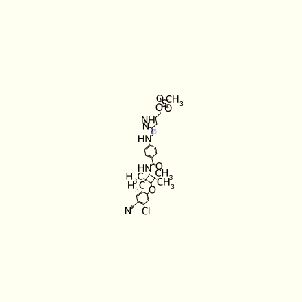 CC1(C)[C@H](NC(=O)c2ccc(N/C=C(/CCCOS(C)(=O)=O)N=N)cc2)C(C)(C)[C@H]1Oc1ccc(C#N)c(Cl)c1